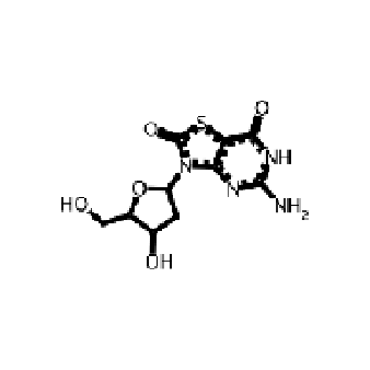 Nc1nc2c(sc(=O)n2C2CC(O)C(CO)O2)c(=O)[nH]1